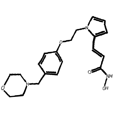 O=C(C=Cc1cccn1CCOc1ccc(CN2CCOCC2)cc1)NO